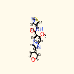 COc1cc2nc(C3CCOCC3)cn2cc1C(=O)Nc1cnsc1